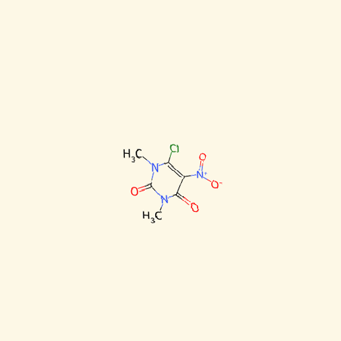 Cn1c(Cl)c([N+](=O)[O-])c(=O)n(C)c1=O